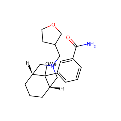 COC1(c2cccc(C(N)=O)c2)[C@@H]2CCC[C@H]1CN(CC1CCOC1)C2